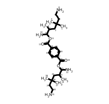 CC(CC(C)(C)CCN)C(N)OC(=O)c1ccc(C(=O)OC(N)C(C)CC(C)(C)CCN)cc1